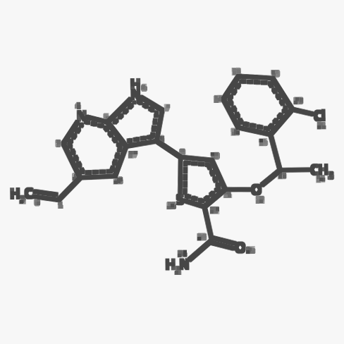 C=Cc1cnc2[nH]cc(-c3cc(OC(C)c4ccccc4Cl)c(C(N)=O)s3)c2c1